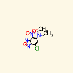 CCN(CC)c1cc(Cl)c2nonc2c1[N+](=O)[O-]